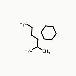 C1CCCCC1.CCCCC(C)C